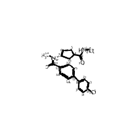 CCNC(=O)C1CC[C@@H](N(C)C(=O)c2ccc(-c3ccc(Cl)cc3)cc2)C1